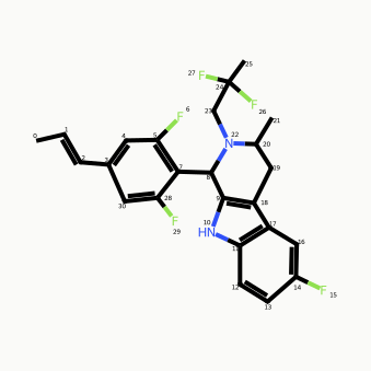 C/C=C/c1cc(F)c(C2c3[nH]c4ccc(F)cc4c3CC(C)N2CC(C)(F)F)c(F)c1